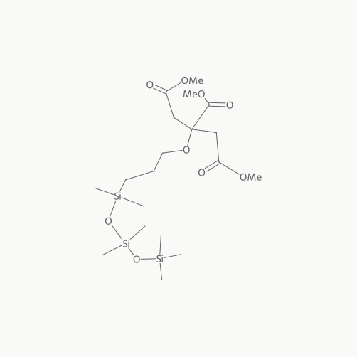 COC(=O)CC(CC(=O)OC)(OCCC[Si](C)(C)O[Si](C)(C)O[Si](C)(C)C)C(=O)OC